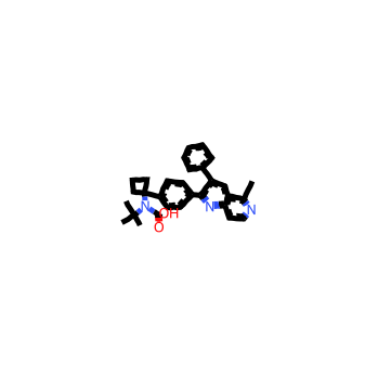 Cc1nccc2nc(-c3ccc(C4(N(C(=O)O)C(C)(C)C)CCC4)cc3)c(-c3ccccc3)cc12